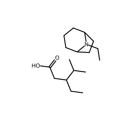 CCC(CC(=O)O)C(C)C.CCN1C2CCCC1CC2